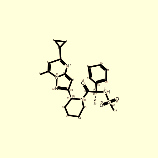 Cc1cc(C2CC2)nc2cc([C@@H]3CCCCN3C(=O)[C@](C)(NS(C)(=O)=O)c3ccccc3)nn12